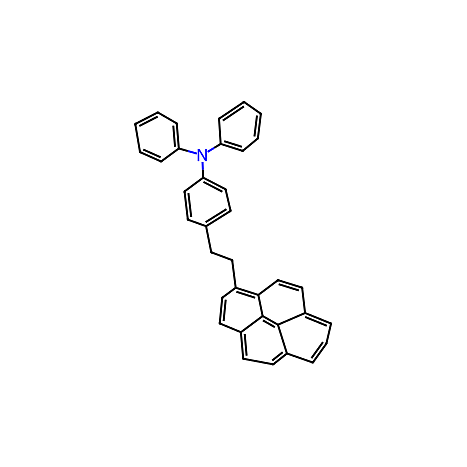 c1ccc(N(c2ccccc2)c2ccc(CCc3ccc4ccc5cccc6ccc3c4c56)cc2)cc1